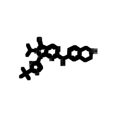 CC(C)n1c(=O)c2cnc(Nc3ccc4c(c3)CCNC4)nc2n1-c1csc(C(C)(C)C)n1